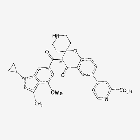 COc1cc(C(=O)[C@@H]2C(=O)c3cc(-c4ccnc(C(=O)O)c4)ccc3OC23CCNCC3)cc2c1c(C)cn2C1CC1